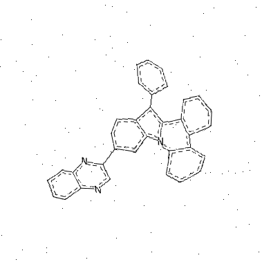 c1ccc(-c2c3ccc(-c4cnc5ccccc5n4)cc3n3c4ccccc4c4ccccc4c23)cc1